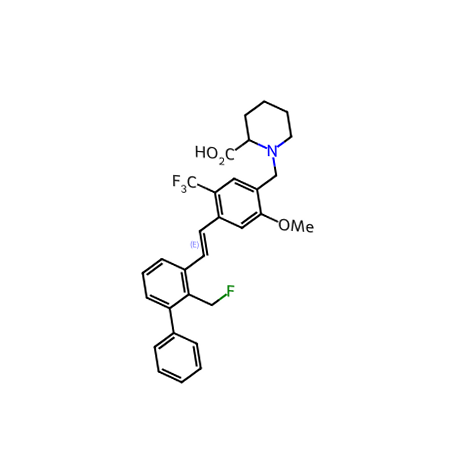 COc1cc(/C=C/c2cccc(-c3ccccc3)c2CF)c(C(F)(F)F)cc1CN1CCCCC1C(=O)O